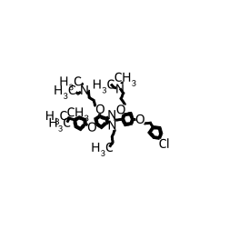 CCCCn1c(-c2ccc(OCCc3ccc(Cl)cc3)cc2OCCCN(CC)CC)nc2c(OCCCCN(CC)CC)cc(Oc3ccc(C(C)(C)C)cc3)cc21